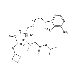 CC(C)OC(=O)C[C@H](C)N[P@@](=O)(CO[C@H](C)Cn1cnc2c(N)ncnc21)N[C@H](C)C(=O)OC1CCC1